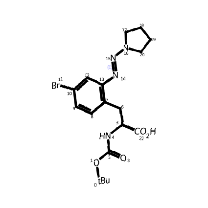 CC(C)(C)OC(=O)NC(Cc1ccc(Br)cc1/N=N/N1CCCC1)C(=O)O